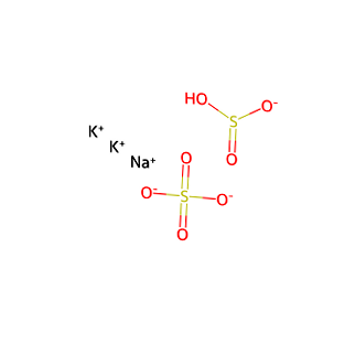 O=S(=O)([O-])[O-].O=S([O-])O.[K+].[K+].[Na+]